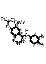 CCC(Cl)Oc1cc2nnnc(Nc3ccc(Br)c(F)c3)c2cc1OC